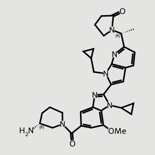 COc1cc(C(=O)N2CCC[C@@H](N)C2)cc2nc(-c3cc4ccc([C@@H](C)N5CCCC5=O)nc4n3CC3CC3)n(C3CC3)c12